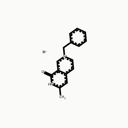 Cc1cc2cc[n+](Cc3ccccc3)cc2c(=O)[nH]1.[Br-]